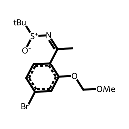 COCOc1cc(Br)ccc1/C(C)=N\[S+]([O-])C(C)(C)C